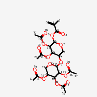 C=C(C)C(=O)OC1OCC(OC2OCC(OC(C)=O)C(OC(C)=O)C2OC(C)=O)C(OC(C)=O)C1OC(C)=O